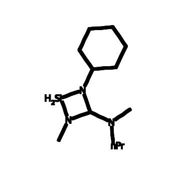 CCCN(C)C1N(C)[SiH2]N1C1CCCCC1